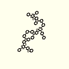 c1ccc(-c2ccc(-c3nc(-c4cccc(-c5cccc(-n6c7ccccc7c7c8oc9nc(-c%10ccccc%10)nc(-c%10ccccc%10)c9c8ccc76)c5)c4)nc4oc5c(ccc6c5c5ccc(-c7cccc(-c8cccc(-n9c%10ccccc%10c%10c%11sc%12c(-c%13ccc%14c(c%13)oc%13ccccc%13%14)nc(-c%13ccccc%13)nc%12c%11ccc%109)c8)c7)cc5n6-c5ccccc5)c34)cc2)cc1